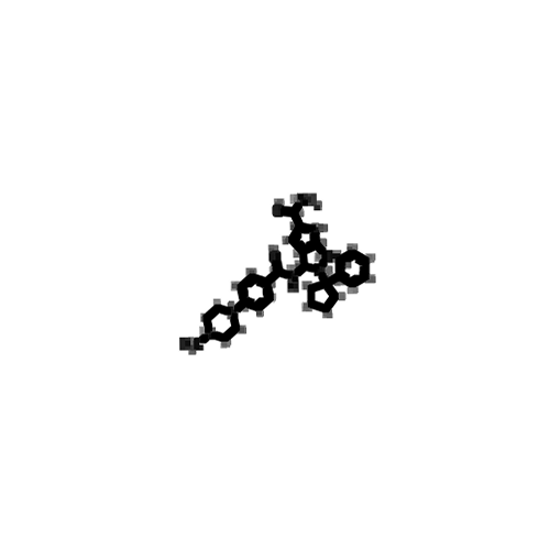 CN1CCN(c2ccc(C(=O)NC3c4cc(C(N)=O)sc4NN3C3(c4ccccc4)CCCC3)cc2)CC1